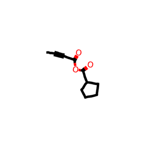 CC#CC(=O)OC(=O)C1CCCC1